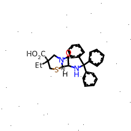 CCC1(C(=O)O)CS[C@@H]2C(NC(c3ccccc3)(c3ccccc3)c3ccccc3)C(=O)N2C1